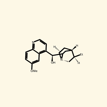 CC[C@H]1C[N@]2CC[C@H]1C[C@@H]2[C@@H](O)c1ccnc2ccc(OC)cc12